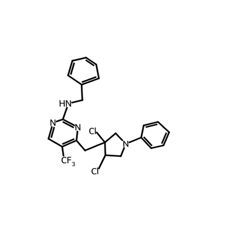 FC(F)(F)c1cnc(NCc2ccccc2)nc1CC1(Cl)CN(c2ccccc2)CC1Cl